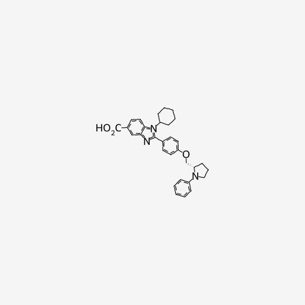 O=C(O)c1ccc2c(c1)nc(-c1ccc(OC[C@@H]3CCCN3c3ccccc3)cc1)n2C1CCCCC1